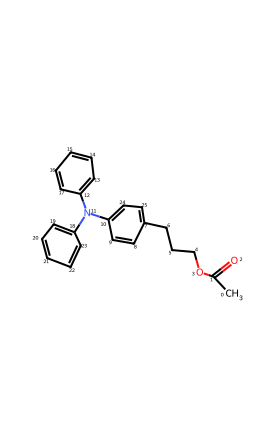 CC(=O)OCCCc1ccc(N(c2ccccc2)c2ccccc2)cc1